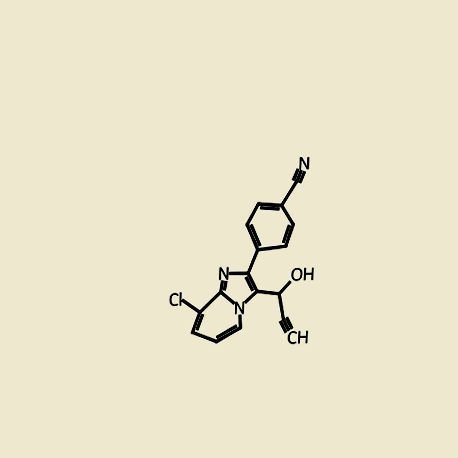 C#CC(O)c1c(-c2ccc(C#N)cc2)nc2c(Cl)cccn12